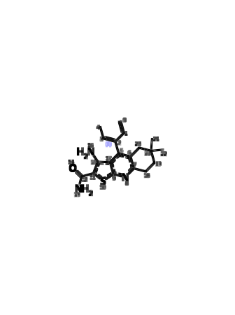 C=C/C(=C\C)c1c2c(nc3sc(C(N)=O)c(N)c13)CCC(C)(C)C2